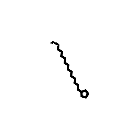 CCCSCCCCCCCCCCCCCC1CCCC1